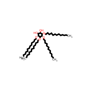 CCCCCCCCCCCCCO[C@@H]1[C@@H](OCCCCCCCCCCCCC)[C@H](OCCCCCCCCCCCCC)[C@@H](O)[C@@H](O)[C@H]1OCCCCCCCCCCCCC